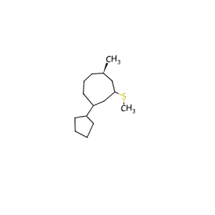 CSC1CC(C2CCCC2)CCC[C@@H](C)C1